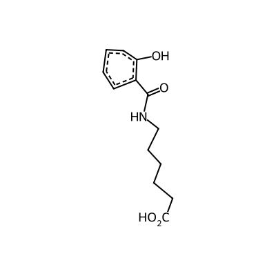 O=C(O)CCCCCNC(=O)c1ccccc1O